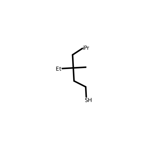 CCC(C)(CCS)CC(C)C